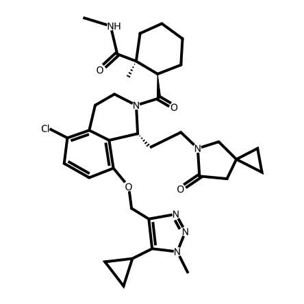 CNC(=O)[C@@]1(C)CCCC[C@H]1C(=O)N1CCc2c(Cl)ccc(OCc3nnn(C)c3C3CC3)c2[C@H]1CCN1CC2(CC2)CC1=O